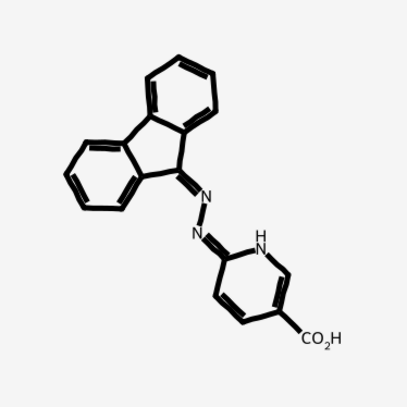 O=C(O)c1cc/c(=N/N=C2c3ccccc3-c3ccccc32)[nH]c1